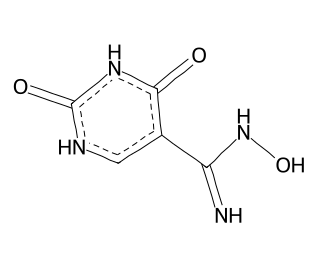 N=C(NO)c1c[nH]c(=O)[nH]c1=O